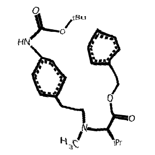 CC(C)C(C(=O)OCc1ccccc1)N(C)CCc1ccc(NC(=O)OC(C)(C)C)cc1